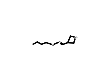 FCCCON=CC1CNC1